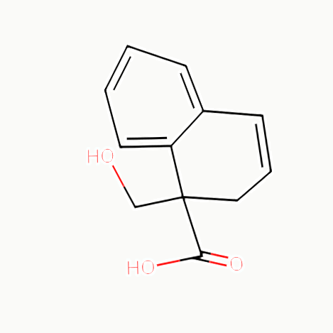 O=C(O)C1(CO)CC=Cc2ccccc21